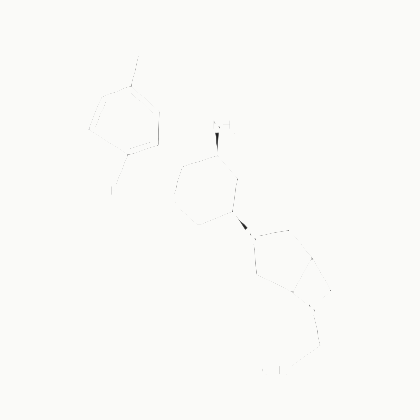 N[C@H]1C[C@@H](N2CC3CN(CC=O)C3C2)CO[C@@H]1c1cc(F)ccc1F